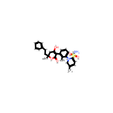 CCCc1c(C2=C(O)CC(CCC)(CCc3ccccc3)OC2=O)cccc1N1CC(C(F)(F)F)=CC=C1S(N)(=O)=O